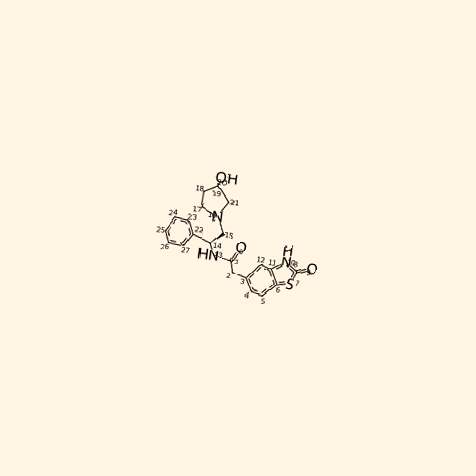 O=C(Cc1ccc2sc(=O)[nH]c2c1)N[C@H](CN1CC[C@@H](O)C1)c1ccccc1